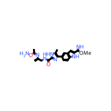 C=C(CNC(=O)c1nc(-c2ccc3[nH]c(C(=N)OC)cc3c2)c(C)[nH]1)/N=C(/C)ON